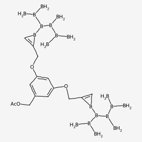 BB(B)B(B)B(B(B)B)B1C=C1COc1cc(COC(C)=O)cc(OCC2=CB2B(B(B)B)B(B)B(B)B)c1